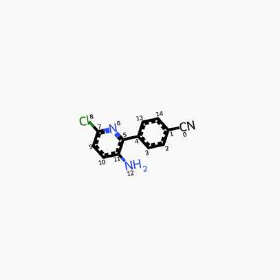 N#Cc1ccc(-c2nc(Cl)ccc2N)cc1